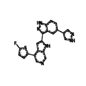 Fc1ccc(-c2cncc3[nH]c(-c4n[nH]c5ccc(-c6cn[nH]c6)cc45)cc23)s1